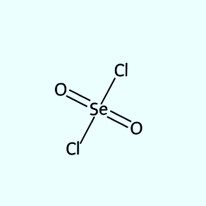 O=[Se](=O)(Cl)Cl